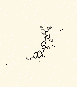 CC[C@@H](CO)Nc1ncc(Cl)c(-c2ccc3c(c2)C(=O)N(CC(=O)N[C@H](C)c2cccc(OC)c2)C3)n1